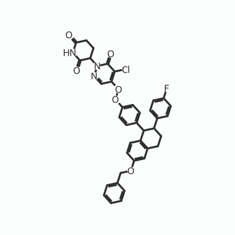 O=C1CCC(n2ncc(OOc3ccc(C4c5ccc(OCc6ccccc6)cc5CCC4c4ccc(F)cc4)cc3)c(Cl)c2=O)C(=O)N1